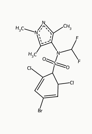 Cc1nn(C)c(C)c1N(C(F)F)S(=O)(=O)C1C(Cl)=CC(Br)=CC1Cl